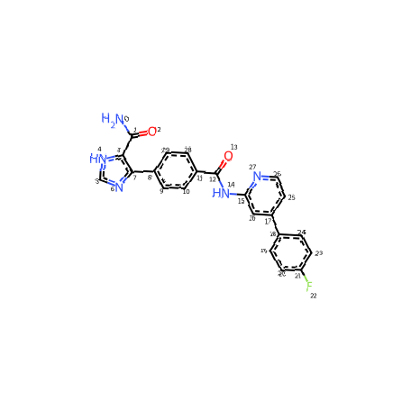 NC(=O)c1[nH]cnc1-c1ccc(C(=O)Nc2cc(-c3ccc(F)cc3)ccn2)cc1